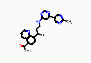 CNC(=O)c1ccc(C(C)CCNc2cc(-c3cnc(C)nc3)ncn2)c2ncccc12